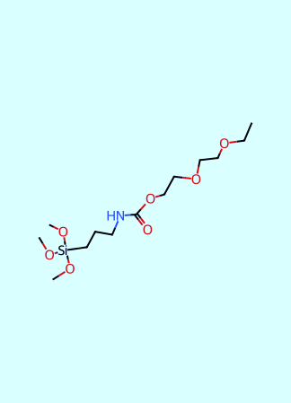 CCOCCOCCOC(=O)NCCC[Si](OC)(OC)OC